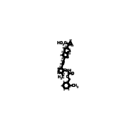 Cc1ccccc1COC(=O)Nc1c(C)nsc1C#Cc1cc2cc(C3(C(=O)O)CC3)sc2s1